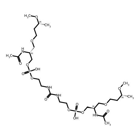 CO[C@H](C)CCOC[C@H](COP(=O)(O)OCCNC(=O)NCCOP(=O)(O)OC[C@@H](COCC[C@@H](C)OC)NC(C)=O)NC(C)=O